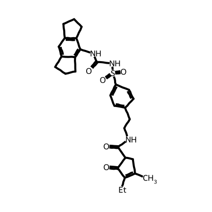 CCC1=C(C)CC(C(=O)NCCc2ccc(S(=O)(=O)NC(=O)Nc3c4c(cc5c3CCC5)CCC4)cc2)C1=O